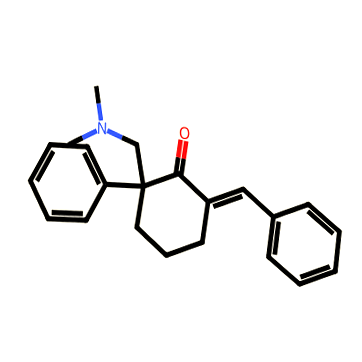 CN(C)CC1(c2ccccc2)CCC/C(=C\c2ccccc2)C1=O